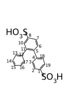 O=S(=O)(O)c1ccc(-c2ccc(S(=O)(=O)O)cc2-c2ccccc2)cc1